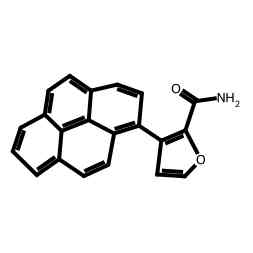 NC(=O)c1occc1-c1ccc2ccc3cccc4ccc1c2c34